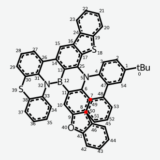 CC(C)(C)c1ccc(N2c3cc4c(cc3B3c5c(cc6c(sc7ccccc76)c52)-c2cccc5c2N3c2ccccc2S5)oc2ccccc24)c(-c2ccccc2)c1